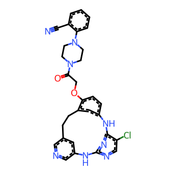 N#Cc1ccccc1N1CCN(C(=O)COc2ccc3cc2CCc2cncc(c2)Nc2ncc(Cl)c(n2)N3)CC1